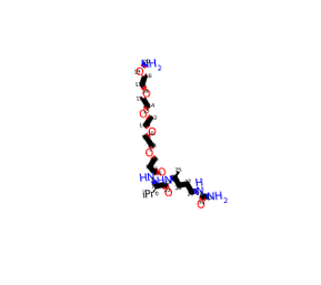 CC(C)[C@H](NC(=O)CCOCCOCCOCCOCCON)C(=O)N[C@@H](C)CCCNC(N)=O